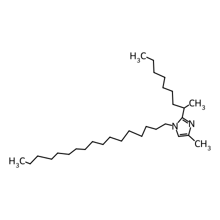 CCCCCCCCCCCCCCCCCn1cc(C)nc1C(C)CCCCCCC